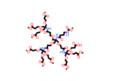 COC(=O)CCOCC(COCCC(=O)O)(COCCC(=O)OC)NC(=O)CCOCC(COCCC(=O)NC(COCCC(=O)OC)(COCCC(=O)OC)COCCC(=O)OC)(COCCC(=O)NC(COCCC(=O)OC)(COCCC(=O)OC)COCCC(=O)OC)NC(=O)CCCNC(=O)OC